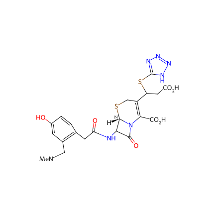 CNCc1cc(O)ccc1CC(=O)NC1C(=O)N2C(C(=O)O)=C(C(CC(=O)O)Sc3nnn[nH]3)CS[C@@H]12